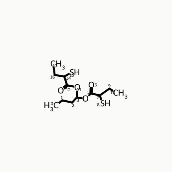 CCCC(OC(=O)C(S)CC)OC(=O)C(S)CC